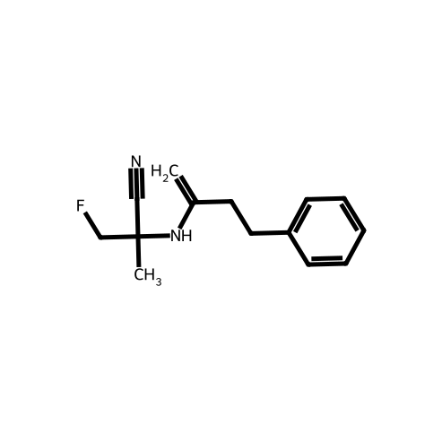 C=C(CCc1ccccc1)NC(C)(C#N)CF